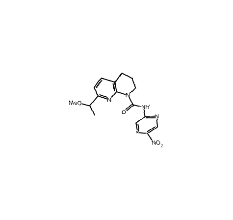 COC(C)c1ccc2c(n1)N(C(=O)Nc1ccc([N+](=O)[O-])cn1)CCC2